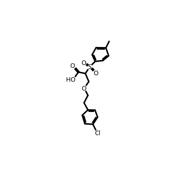 Cc1ccc(S(=O)(=O)C(COCCc2ccc(Cl)cc2)C(=O)O)cc1